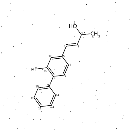 CC(O)C=Cc1ccc(-c2ccccc2)c(F)c1